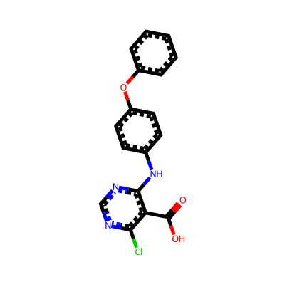 O=C(O)c1c(Cl)ncnc1Nc1ccc(Oc2ccccc2)cc1